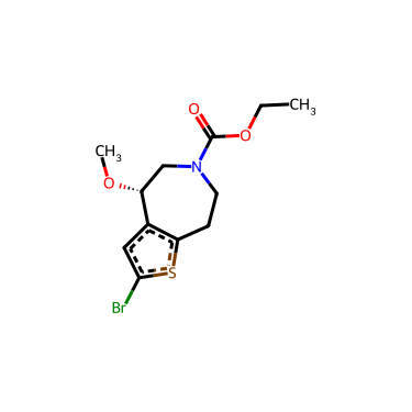 CCOC(=O)N1CCc2sc(Br)cc2[C@H](OC)C1